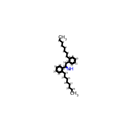 CCCCCCCCc1ccccc1CC(=N)c1ccccc1CCCCCCCC